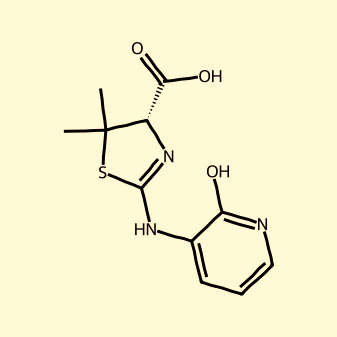 CC1(C)SC(Nc2cccnc2O)=N[C@H]1C(=O)O